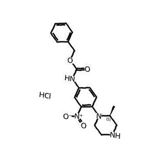 C[C@H]1CNCCN1c1ccc(NC(=O)OCc2ccccc2)cc1[N+](=O)[O-].Cl